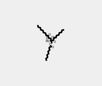 CCCCCCCCC(=O)OCC(O)(C(=O)CCCCCCCC)C(O)C(O)C(=O)CCCCCCCC